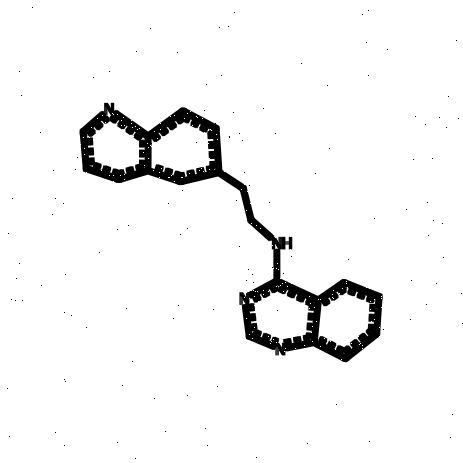 c1cnc2ccc(CCNc3ncnc4ccccc34)cc2c1